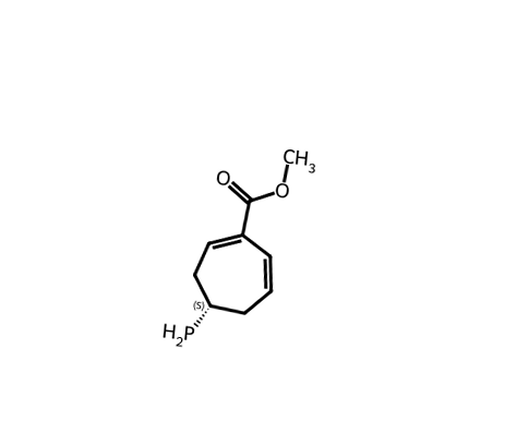 COC(=O)C1=CC[C@@H](P)CC=C1